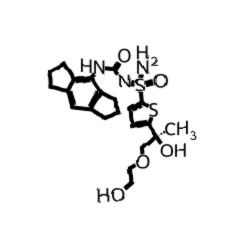 C[C@](O)(COCCO)c1ccc(S(N)(=O)=NC(=O)Nc2c3c(cc4c2CCC4)CCC3)s1